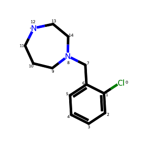 Clc1ccccc1CN1CCC[N]CC1